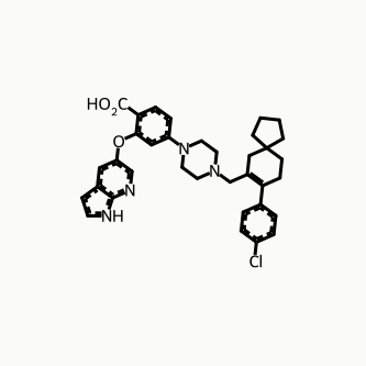 O=C(O)c1ccc(N2CCN(CC3=C(c4ccc(Cl)cc4)CCC4(CCCC4)C3)CC2)cc1Oc1cnc2[nH]ccc2c1